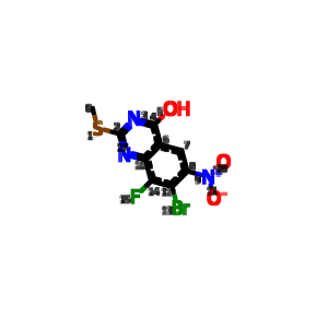 CSc1nc(O)c2cc([N+](=O)[O-])c(Br)c(F)c2n1